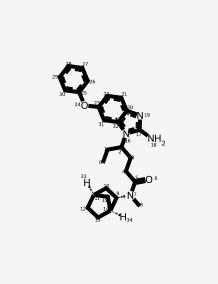 CCC(CCC(=O)N(C)[C@H]1C[C@@H]2CC[C@H]1C2)n1c(N)nc2ccc(Oc3ccccc3)cc21